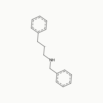 [CH](CNCc1ccccc1)Cc1ccccc1